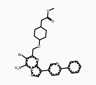 COC(=O)CC1CCC(OCc2nc3c(-c4ccc(-c5ccccc5)nc4)cnn3c(N)c2Br)CC1